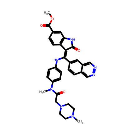 COC(=O)c1ccc2c(c1)NC(=O)C2=C(Nc1ccc(N(C)C(=O)CN2CCN(C)CC2)cc1)c1ccc2cnncc2c1